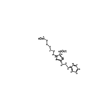 CCCCCCCCCCCCCCCCn1cc(CCCc2ccccc2)nc1CCCCCCCC